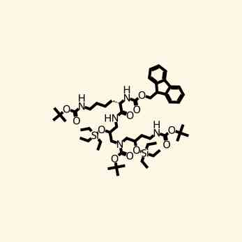 CC[Si](CC)(CC)OC(CCNC(=O)OC(C)(C)C)CN(CC(CNC(=O)[C@H](CCCCNC(=O)OC(C)(C)C)NC(=O)OCC1c2ccccc2-c2ccccc21)O[Si](CC)(CC)CC)C(=O)OC(C)(C)C